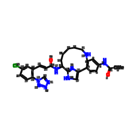 COC(=O)Nc1ccc2c(c1)NCCCCC[C@H](NC(=O)/C=C/c1cc(Cl)ccc1-n1cnnn1)c1nc-2c[nH]1